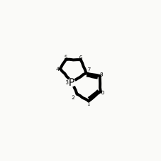 C1=CCP2CCCC2=C1